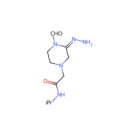 CC(C)NC(=O)CN1CCN([C]=O)C(=NN)C1